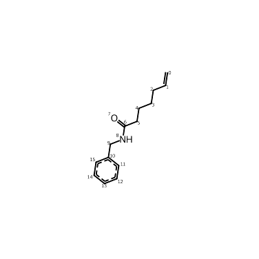 C=CCCCCC(=O)NCc1ccccc1